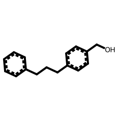 OCc1ccc(CCCc2ccccc2)cc1